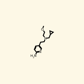 COCCN(CCc1ccc(N)nc1)CC1CC1